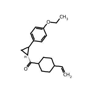 C=CC1CCC(C(=O)[C@@H]2CC2c2ccc(OCC)cc2)CC1